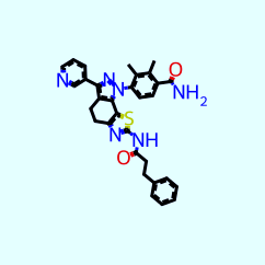 Cc1c(C(N)=O)ccc(-n2nc(-c3cccnc3)c3c2-c2sc(NC(=O)CCc4ccccc4)nc2CC3)c1C